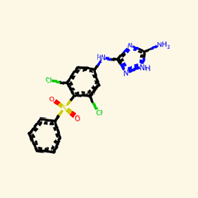 Nc1nc(Nc2cc(Cl)c(S(=O)(=O)c3ccccc3)c(Cl)c2)n[nH]1